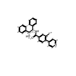 O=C(N[C@@H](c1ccccc1)[C@H](O)c1ccccc1)c1ccc(-c2ccncc2)c(F)c1